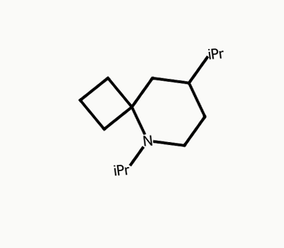 CC(C)C1CCN(C(C)C)C2(CCC2)C1